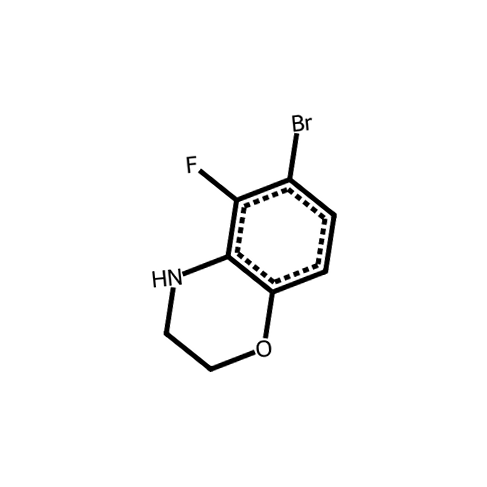 Fc1c(Br)ccc2c1NCCO2